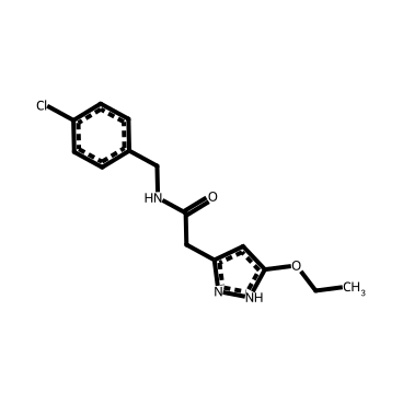 CCOc1cc(CC(=O)NCc2ccc(Cl)cc2)n[nH]1